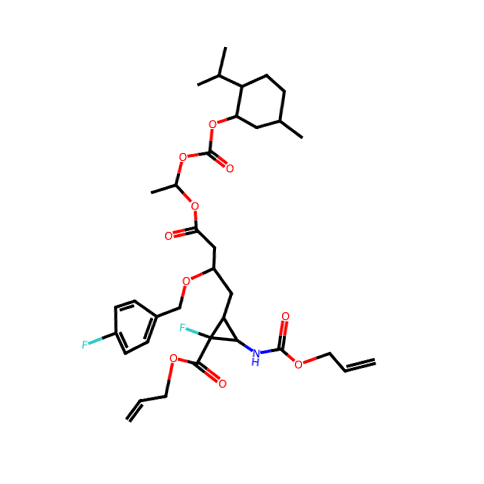 C=CCOC(=O)NC1C(CC(CC(=O)OC(C)OC(=O)OC2CC(C)CCC2C(C)C)OCc2ccc(F)cc2)C1(F)C(=O)OCC=C